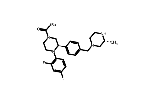 C[C@@H]1CN(Cc2ccc([C@@H]3CN(C(=O)C(C)(C)C)CCN3c3ccc(F)cc3F)cc2)CCN1